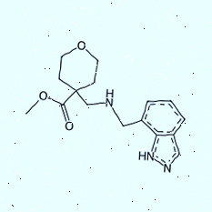 COC(=O)C1(CNCc2cccc3cn[nH]c23)CCOCC1